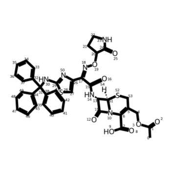 CC(=O)OCC1=C(C(=O)O)N2C(=O)[C@H](NC(=O)/C(=N\OC3CCNC3=O)c3csc(NC(c4ccccc4)(c4ccccc4)c4ccccc4)n3)[C@H]2SC1